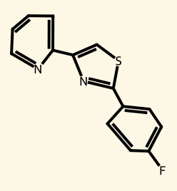 Fc1ccc(-c2nc(-c3ccccn3)cs2)cc1